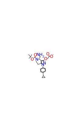 COC(=O)COc1nn(-c2ccc(C3CC3)cc2)c2c1[C@H](CN)N(C(=O)OC(C)(C)C)CC2